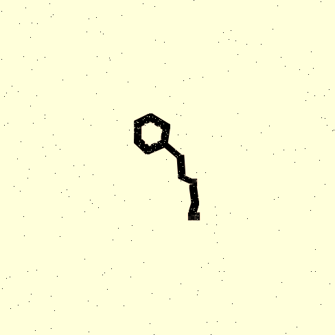 N=C=NC=Cc1ccccc1